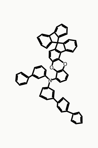 c1ccc(-c2ccc(-c3cccc(N(c4cccc(-c5ccccc5)c4)c4cccc5c4Oc4ccc6c(c4O5)-c4ccccc4C64c5ccccc5-c5ccccc54)c3)cc2)cc1